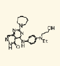 CCN(CCO)c1ccc(Nc2nc(N3CCCCCC3)nc3cn[nH]c(=O)c23)cc1